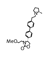 COCCN1C(=O)OC[C@H]1c1ccc(-c2ccc(CCN3CCC[C@H]3C)cc2)cc1